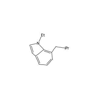 CCn1ccc2cccc(CC(C)C)c21